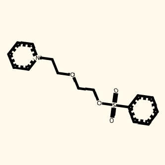 O=S(=O)(OCCOCC[n+]1ccccc1)c1ccccc1